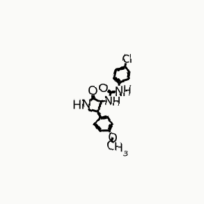 COc1ccc(C2CNC(=O)C2NC(=O)Nc2ccc(Cl)cc2)cc1